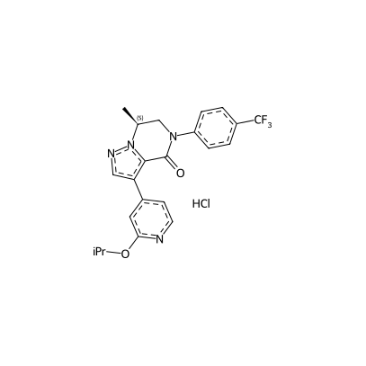 CC(C)Oc1cc(-c2cnn3c2C(=O)N(c2ccc(C(F)(F)F)cc2)C[C@@H]3C)ccn1.Cl